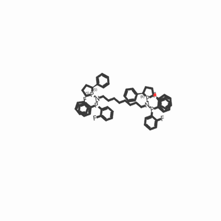 Fc1ccccc1P(c1ccccc1F)N(CCCCCCCCN(P(c1ccccc1F)c1ccccc1F)P1[C@H](c2ccccc2)CC[C@H]1c1ccccc1)P1[C@@H](c2ccccc2)CC[C@@H]1c1ccccc1